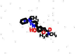 CN(C)C(=O)c1cc2cc(-c3ccc(N(C)C4CC5CCCC(C4)N5)nn3)c(O)cc2o1